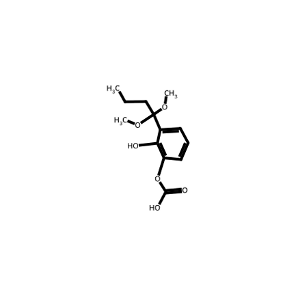 CCCC(OC)(OC)c1cccc(OC(=O)O)c1O